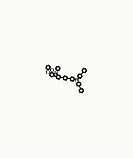 c1ccc(-c2ccc(N(c3ccc(-c4ccccc4)cc3)c3ccc(-c4ccc(-c5ccc6c7ccc8c(c7n(-c7ccccc7)c6c5)Oc5ccccc5O8)cc4)cc3)cc2)cc1